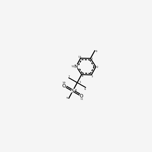 Cc1ccc(C(C)(C)S(C)(=O)=O)nc1